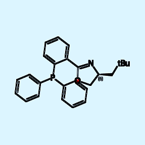 CC(C)(C)C[C@H]1COC(c2ccccc2P(c2ccccc2)c2ccccc2)=N1